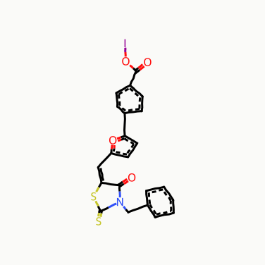 O=C(OI)c1ccc(-c2ccc(/C=C3/SC(=S)N(Cc4ccccc4)C3=O)o2)cc1